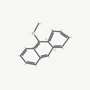 COc1c2ccccc2[c]c2ccccc12